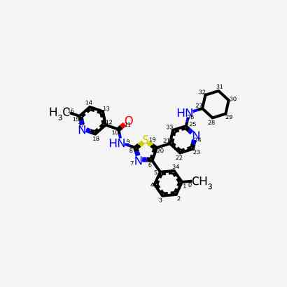 Cc1cccc(-c2nc(NC(=O)c3ccc(C)nc3)sc2-c2ccnc(NC3CCCCC3)c2)c1